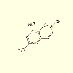 Cl.Nc1ccc2c(c1)C=CB(O)O2